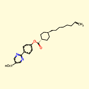 C=CCCCCCC[C@H]1CC[C@H](C(=O)Oc2ccc(-c3ncc(CCCCCCCC)cn3)cc2)CC1